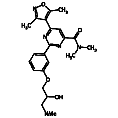 CNCC(O)COc1cccc(-c2nc(C(=O)N(C)C)cc(-c3c(C)noc3C)n2)c1